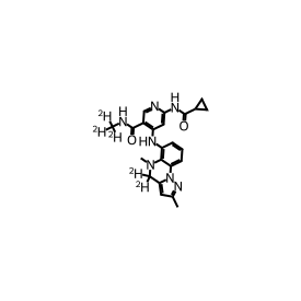 [2H]C([2H])([2H])NC(=O)c1cnc(NC(=O)C2CC2)cc1Nc1cccc2c1N(C)C([2H])([2H])c1cc(C)nn1-2